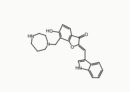 O=C1C(=Cc2c[nH]c3ccccc23)Oc2c1ccc(O)c2CN1CCCNCC1